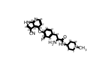 CN1CCC(NC(=O)C(N)Cc2ccc(Oc3ccnc4[nH]cc(C#N)c34)c(F)c2)CC1